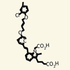 Cc1ccc(OC/C=C/COc2ccc(C=Cc3cccc4c(CCCC(=O)O)c(C)n(CC(=O)O)c34)cc2)c(Cl)c1